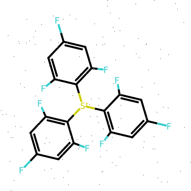 Fc1cc(F)c([S+](c2c(F)cc(F)cc2F)c2c(F)cc(F)cc2F)c(F)c1